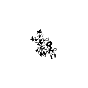 C#C[C@@]1(OC(C)=O)[C@@H](COC(Cc2ccccc2)(C(=O)OCC)C(=O)OCC)O[C@@H](n2cnc3c(N(C(=O)OC(C)(C)C)C(=O)OC(C)(C)C)nc(Cl)nc32)[C@@H]1OC(C)=O